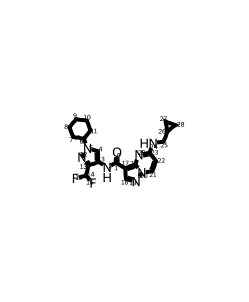 O=C(Nc1cn(C2CCCCC2)nc1C(F)F)c1cnn2ccc(NCC3CC3)nc12